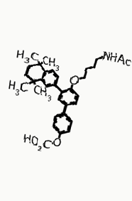 CC(=O)NCCCCOc1ccc(-c2ccc(OC(=O)O)cc2)cc1-c1ccc2c(c1)C(C)(C)CCC2(C)C